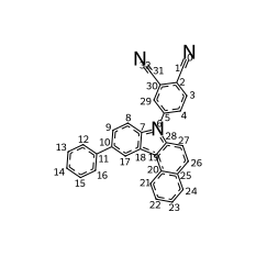 N#Cc1ccc(-n2c3ccc(-c4ccccc4)cc3c3c4ccccc4ccc32)cc1C#N